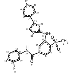 CS(=O)(=O)c1ccc(C(=O)Nc2cccc(F)c2)cc1Nc1nc(-c2ccncc2)cs1